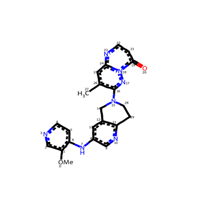 COc1cnccc1Nc1cnc2c(c1)CN(c1nn3c(=O)ccnc3cc1C)CC2